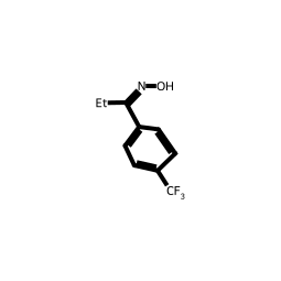 CC/C(=N/O)c1ccc(C(F)(F)F)cc1